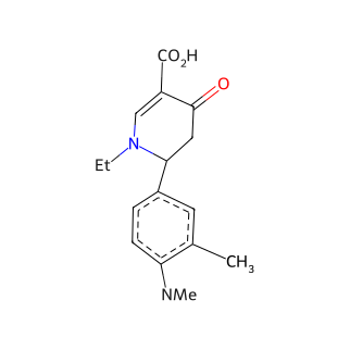 CCN1C=C(C(=O)O)C(=O)CC1c1ccc(NC)c(C)c1